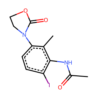 CC(=O)Nc1c(I)ccc(N2CCOC2=O)c1C